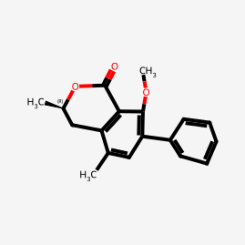 COc1c(-c2ccccc2)cc(C)c2c1C(=O)O[C@H](C)C2